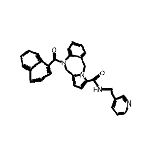 O=C(NCc1cccnc1)c1ccc2n1Cc1ccccc1N(C(=O)c1cccc3ccccc13)C2